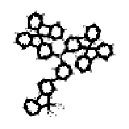 CC1(C)c2ccccc2-c2ccc(-c3cccc(N(c4ccc5c(c4)C4(c6ccccc6-c6ccccc64)c4ccccc4-5)c4ccc5c(c4)C4(c6ccccc6-c6ccccc64)c4ccccc4-5)c3)cc21